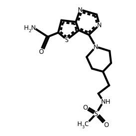 CS(=O)(=O)NCCC1CCN(c2ncnc3cc(C(N)=O)sc23)CC1